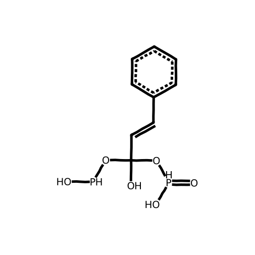 O=[PH](O)OC(O)(C=Cc1ccccc1)OPO